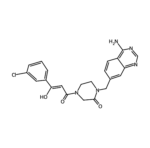 Nc1ncnc2cc(CN3CCN(C(=O)C=C(O)c4cccc(Cl)c4)CC3=O)ccc12